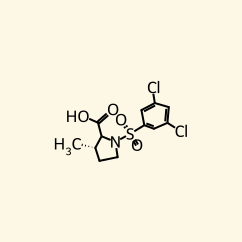 C[C@H]1CCN(S(=O)(=O)c2cc(Cl)cc(Cl)c2)C1C(=O)O